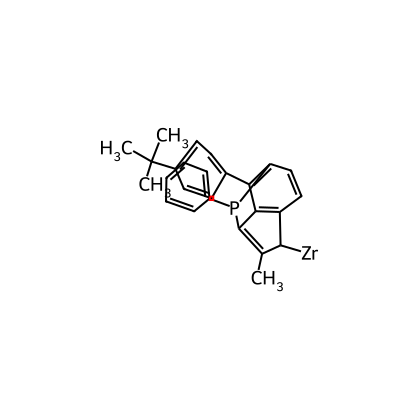 CC1=c2c3c(ccc(c3-c3ccc(C(C)(C)C)cc3)p2-c2ccccc2)[CH]1[Zr]